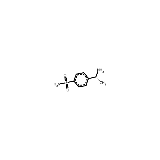 C[C@@H](N)c1ccc(S(N)(=O)=O)cc1